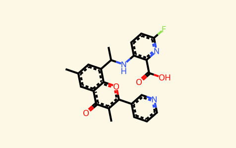 Cc1cc(C(C)Nc2ccc(F)nc2C(=O)O)c2oc(-c3cccnc3)c(C)c(=O)c2c1